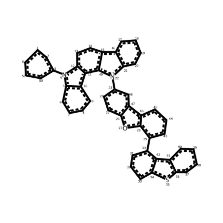 c1ccc(-n2c3ccccc3c3c2ccc2c4ccccc4n(-c4ccc5oc6c(-c7cccc8sc9ccccc9c78)cccc6c5c4)c23)cc1